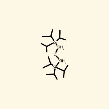 CC(C)[Si]([SiH2]O[SiH2][Si](C(C)C)(C(C)C)C(C)C)(C(C)C)C(C)C